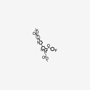 CCOC(=O)CCn1cc(C(=O)c2ccc(F)cc2)c2cc(-c3ccc(N4CCN(C(=O)OC(C)(C)C)CC4)nc3)cnc21